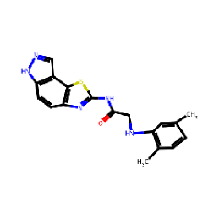 Cc1ccc(C)c(NCC(=O)Nc2nc3ccc4[nH]ncc4c3s2)c1